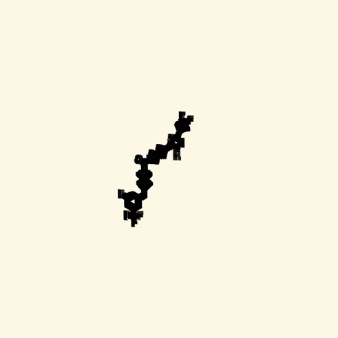 O=C(N1CC2(CC(Cc3cc(F)cc(C(F)(F)F)c3)C2)C1)N1CC2(CC(c3nc(C4CC(F)(F)C4)n[nH]3)C2)C1